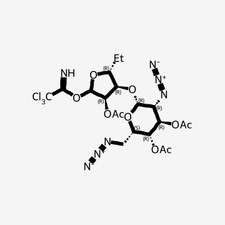 CC[C@H]1OC(OC(=N)C(Cl)(Cl)Cl)[C@H](OC(C)=O)[C@@H]1O[C@H]1O[C@@H](CN=[N+]=[N-])[C@@H](OC(C)=O)[C@H](OC(C)=O)[C@H]1N=[N+]=[N-]